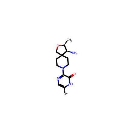 CC(C)c1cnc(N2CCC3(CC2)CO[C@@H](C)[C@H]3N)c(=O)[nH]1